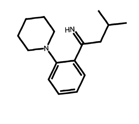 CC(C)CC(=N)c1ccccc1N1CCCCC1